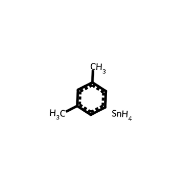 Cc1cccc(C)c1.[SnH4]